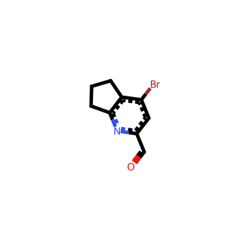 O=Cc1cc(Br)c2c(n1)CCC2